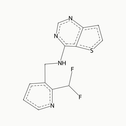 FC(F)c1ncccc1CNc1ncnc2ccsc12